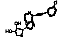 O[C@@H]1[C@H](O)CS[C@H]1c1cnc2c(C#Cc3cccc(Cl)c3)nccn12